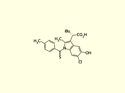 CCC(C)[C@H](C(=O)O)c1c(C)n(C(=S)c2ccc(C)cc2)c2cc(Cl)c(O)cc12